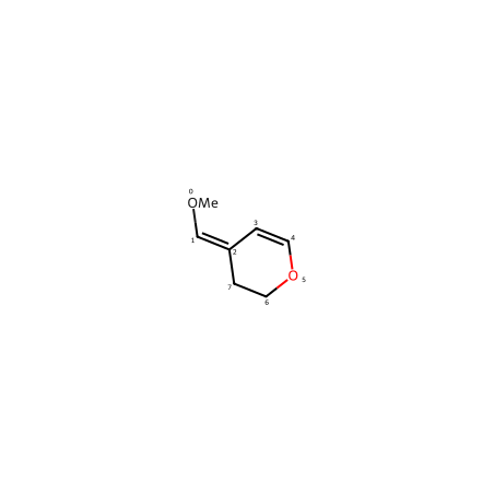 COC=C1C=COCC1